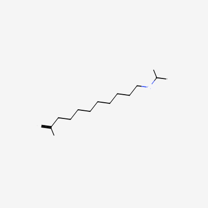 C=C(C)CCCCCCCCCNC(C)C